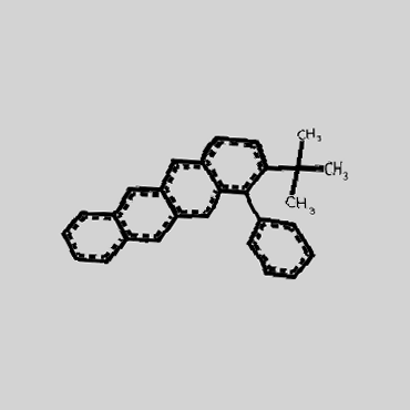 CC(C)(C)c1ccc2cc3cc4ccccc4cc3cc2c1-c1ccccc1